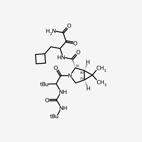 CC(C)(C)NC(=O)NC(C(=O)N1C[C@H]2[C@@H]([C@H]1C(=O)NC(CC1CCC1)C(=O)C(N)=O)C2(C)C)C(C)(C)C